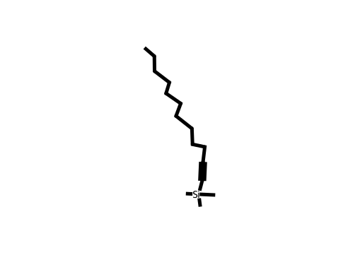 CCCCCCCCCCC#C[Si](C)(C)C